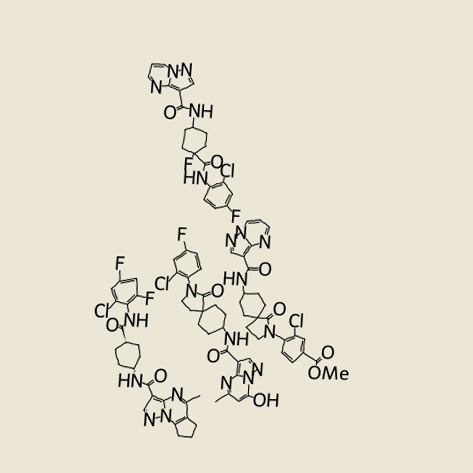 COC(=O)c1ccc(N2CCC3(CCC(NC(=O)c4cnn5cccnc45)CC3)C2=O)c(Cl)c1.Cc1cc(O)n2ncc(C(=O)NC3CCC4(CC3)CCN(c3ccc(F)cc3Cl)C4=O)c2n1.Cc1nc2c(C(=O)N[C@H]3CC[C@H](C(=O)Nc4c(F)cc(F)cc4Cl)CC3)cnn2c2c1CCC2.O=C(NC1CCC(F)(C(=O)Nc2ccc(F)cc2Cl)CC1)c1cnn2cccnc12